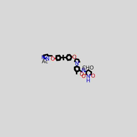 CC(=O)c1nccc(COc2ccc(C(C)(C)c3ccc(OC4CCN(c5ccc(C)c(C(=O)N(C=O)C6CCC(=O)NC6=O)c5)C4)cc3)cc2)n1